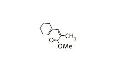 COC(=O)C(C)=CC1=CCCCC1